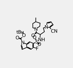 CC1CCN(C(=O)C(CCn2cccc2C#N)NS(=O)(=O)c2cc3c(ccn3C(=O)OC(C)(C)C)cc2F)CC1